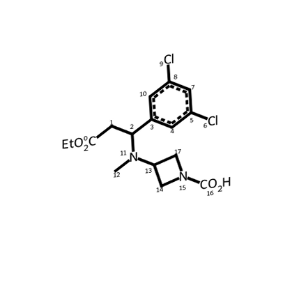 CCOC(=O)CC(c1cc(Cl)cc(Cl)c1)N(C)C1CN(C(=O)O)C1